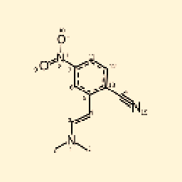 CN(C)/C=C/c1cc([N+](=O)[O-])ccc1C#N